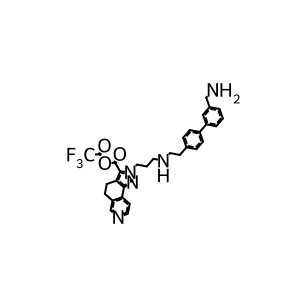 NCc1cccc(-c2ccc(CCNCCCn3nc4c(c3C(=O)OC(=O)C(F)(F)F)CCc3cnccc3-4)cc2)c1